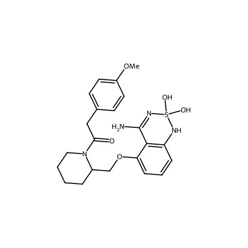 COc1ccc(CC(=O)N2CCCCC2COc2cccc3c2C(N)=NS(O)(O)N3)cc1